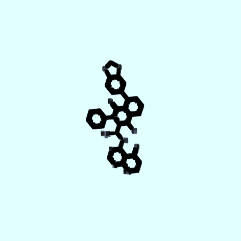 C[C@H](Nc1ncnc2[nH]ccc(=O)c12)c1c(Cl)c2cccc(-c3ccc4c(c3)OCO4)c2c(=O)n1-c1ccccc1